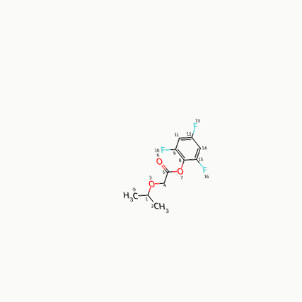 CC(C)OCC(=O)Oc1c(F)cc(F)cc1F